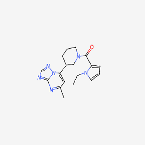 CCn1cccc1C(=O)N1CCCC(c2cc(C)nc3ncnn23)C1